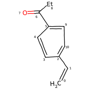 C=Cc1ccc(C(=O)CC)cc1